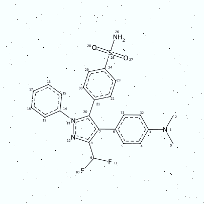 CN(C)c1ccc(-c2c(C(F)F)nn(-c3ccccc3)c2-c2ccc(S(N)(=O)=O)cc2)cc1